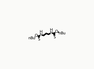 CCCCOC(=S)NCCCNC(=S)OCCCC